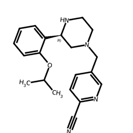 CC(C)Oc1ccccc1[C@@H]1CN(Cc2ccc(C#N)nc2)CCN1